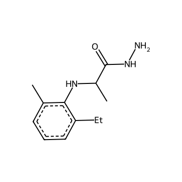 CCc1cccc(C)c1NC(C)C(=O)NN